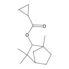 CC12CCC(C1)C(C)(C)C2OC(=O)C1CC1